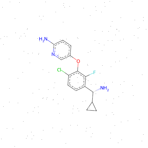 Nc1ccc(Oc2c(Cl)ccc([C@H](N)C3CC3)c2F)cn1